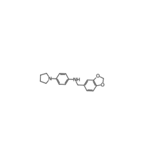 c1cc2c(cc1CNc1ccc(N3CCCC3)cc1)OCO2